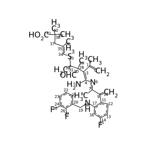 C=C(C)/C(=C(N)\N=C(/C)C(=C)c1ccc(F)cc1NCc1cccc(F)c1F)[C@@](C)(C=O)C(=C)S/C=C(\C)CC(C)(C)C(=O)O